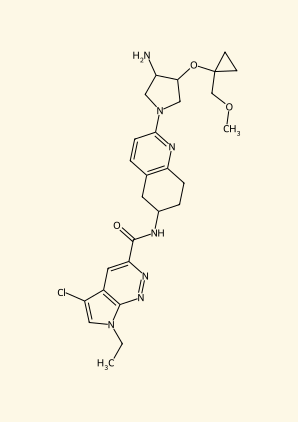 CCn1cc(Cl)c2cc(C(=O)NC3CCc4nc(N5CC(N)C(OC6(COC)CC6)C5)ccc4C3)nnc21